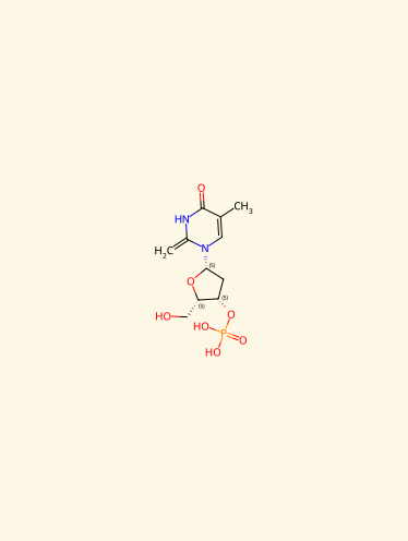 C=C1NC(=O)C(C)=CN1[C@@H]1C[C@H](OP(=O)(O)O)[C@H](CO)O1